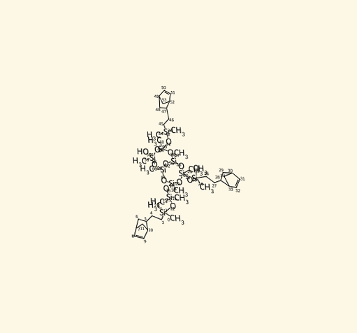 C[Si](C)(CCC1CC2C=CC1C2)O[Si](C)(C)O[Si]1(C)O[Si](C)(O[Si](C)(C)CCC2CC3C=CC2C3)O[Si]2(C)O[Si](C)(O[Si](C)(C)CCC3CC4C=CC3C4)O[Si](C)(O)O[Si](C)(O1)O2